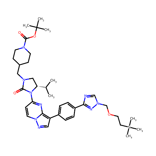 CC(C)[C@H]1CN(CC2CCN(C(=O)OC(C)(C)C)CC2)C(=O)N1c1ccn2ncc(-c3ccc(-c4ncn(COCC[Si](C)(C)C)n4)cc3)c2n1